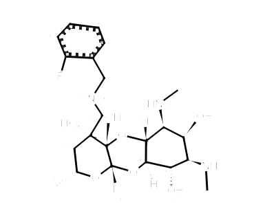 CN[C@@H]1[C@H](O)[C@H](NC)[C@H]2O[C@]3(O)[C@H](O[C@@H]2[C@H]1O)O[C@H](C)C[C@@]3(O)CNCc1ccccc1F